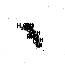 CN(c1ccccc1-c1ccc2c(c1)Nc1ccc(NC(=O)c3cccnc3)cc1NC2=O)S(C)(=O)=O